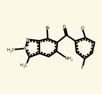 Cc1c2cc(N)c(C(=O)c3cc(F)ccc3Cl)c(Br)c2nn1C